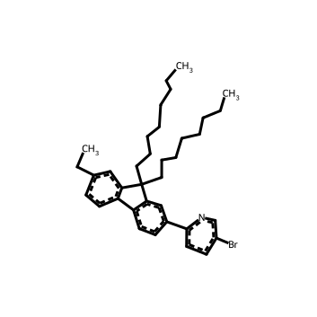 CCCCCCCCC1(CCCCCCCC)c2cc(CC)ccc2-c2ccc(-c3ccc(Br)cn3)cc21